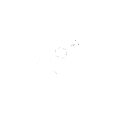 C=CCC1(c2ccc(C#N)cc2)CCOOC1